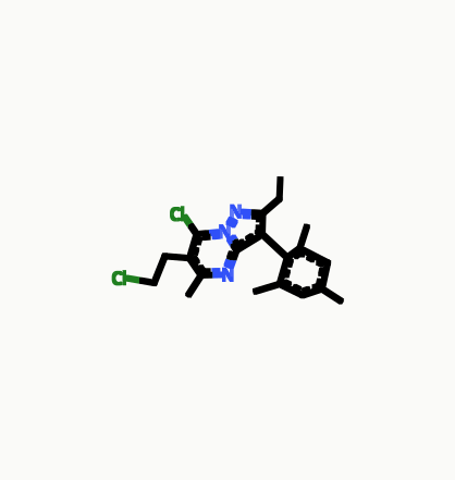 CCc1nn2c(Cl)c(CCCl)c(C)nc2c1-c1c(C)cc(C)cc1C